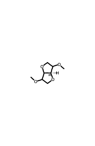 COC1CO[C@@H]2C(OC)COC12